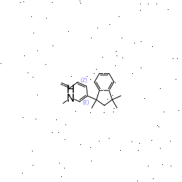 C=C/C=C\C(=C/NC)C1(C)CC(C)(C)c2ccccc21